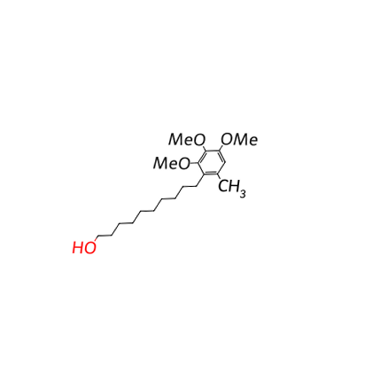 COc1cc(C)c(CCCCCCCCCCO)c(OC)c1OC